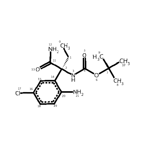 CC[C@@](NC(=O)OC(C)(C)C)(C(N)=O)c1cc(Cl)ccc1N